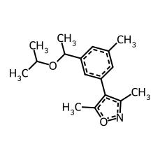 Cc1cc(-c2c(C)noc2C)cc(C(C)OC(C)C)c1